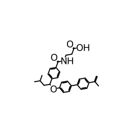 C=C(C)c1ccc(-c2ccc(OC(CC(C)C)c3ccc(C(=O)NCCC(=O)O)cc3)cc2)cc1